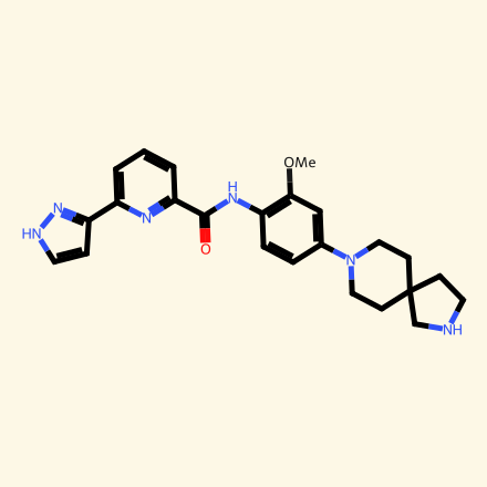 COc1cc(N2CCC3(CCNC3)CC2)ccc1NC(=O)c1cccc(-c2cc[nH]n2)n1